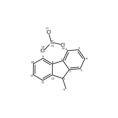 C[C]1c2ccccc2-c2ccccc21.[Cl][Ti]([Cl])[Cl]